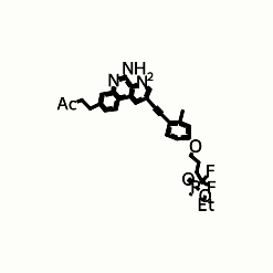 CCOP(C)(=O)C(F)(F)CCCOc1ccc(C#Cc2cnc3c(N)nc4cc(CCC(C)=O)ccc4c3c2)c(C)c1